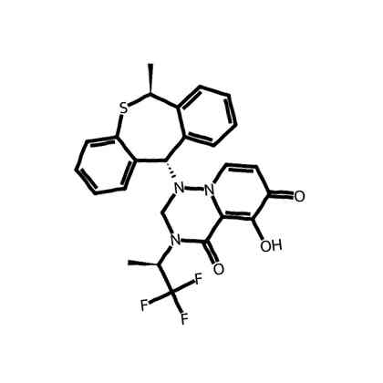 C[C@@H]1Sc2ccccc2[C@@H](N2CN([C@H](C)C(F)(F)F)C(=O)c3c(O)c(=O)ccn32)c2ccccc21